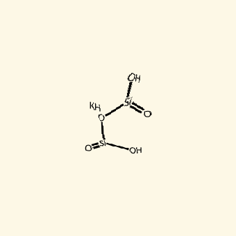 O=[Si](O)O[Si](=O)O.[KH]